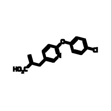 C=C(Cc1ccc(Oc2ccc(Cl)cc2)nc1)C(=O)O